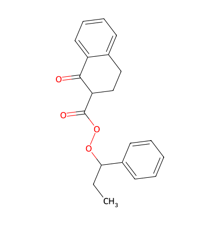 CCC(OOC(=O)C1CCc2ccccc2C1=O)c1ccccc1